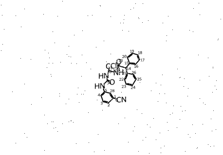 N#Cc1cccc(NC(=O)NC(NC(=O)C(c2ccccc2)c2ccccc2)C(Cl)(Cl)Cl)c1